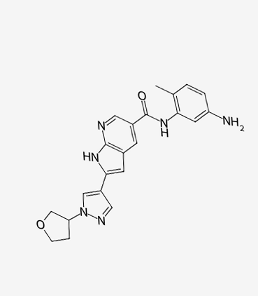 Cc1ccc(N)cc1NC(=O)c1cnc2[nH]c(-c3cnn(C4CCOC4)c3)cc2c1